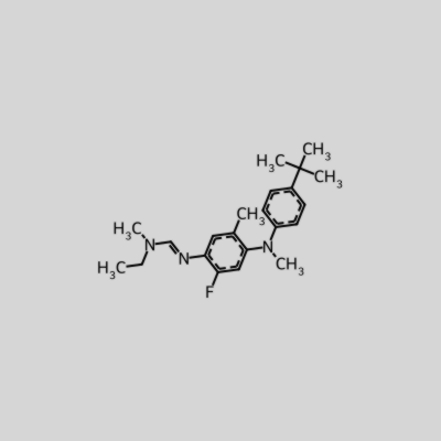 CCN(C)C=Nc1cc(C)c(N(C)c2ccc(C(C)(C)C)cc2)cc1F